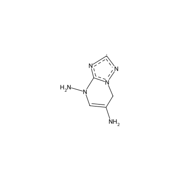 NC1=CN(N)c2n[c]nn2C1